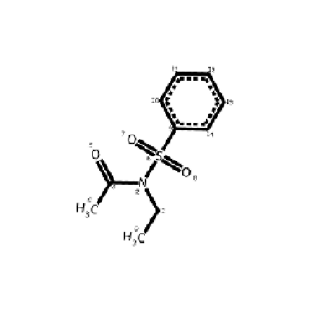 CCN(C(C)=O)S(=O)(=O)c1ccccc1